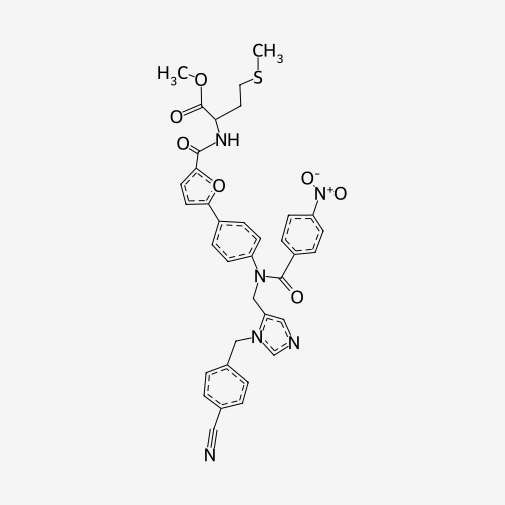 COC(=O)C(CCSC)NC(=O)c1ccc(-c2ccc(N(Cc3cncn3Cc3ccc(C#N)cc3)C(=O)c3ccc([N+](=O)[O-])cc3)cc2)o1